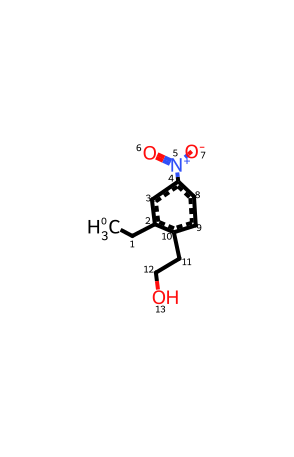 CCc1cc([N+](=O)[O-])ccc1CCO